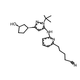 CC(C)(C)n1nc([C@H]2CC[C@@H](O)C2)cc1Nc1cccc(CCCCC#N)n1